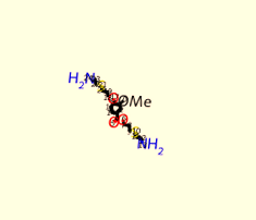 COc1cc(C(=O)OCCCSCCN)ccc1OCCCSCCN